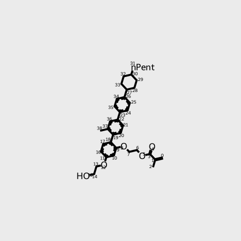 C=C(C)C(=O)OCCOc1cc(OCCO)ccc1-c1ccc(-c2ccc(C3CCC(CCCCC)CC3)cc2)cc1C